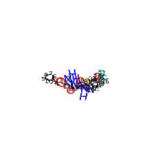 N[C@@H](COCc1ccccc1)C(=O)NCC(=O)Nc1nc2ccc(OC(F)(F)F)cc2s1